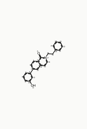 O=c1c2ccc(-c3cccc(O)c3)cc2ccn1CCc1ccccc1